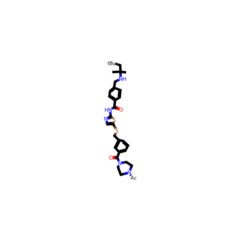 CC(=O)N1CCN(C(=O)c2cccc(CSc3cnc(NC(=O)c4ccc(CNC(C)(C)CC(C)(C)C)cc4)s3)c2)CC1